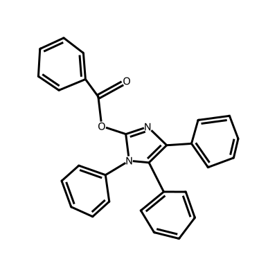 O=C(Oc1nc(-c2ccccc2)c(-c2ccccc2)n1-c1ccccc1)c1ccccc1